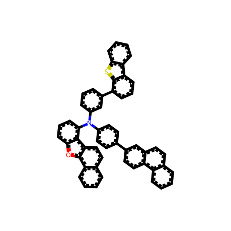 c1cc(-c2cccc3c2sc2ccccc23)cc(N(c2ccc(-c3ccc4c(ccc5ccccc54)c3)cc2)c2cccc3oc4c5ccccc5ccc4c23)c1